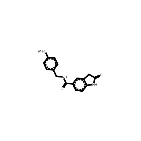 COc1ccc(CNC(=O)c2ccc3c(c2)CC(=O)N3)cc1